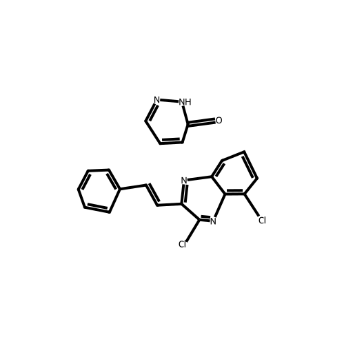 Clc1nc2c(Cl)cccc2nc1C=Cc1ccccc1.O=c1cccn[nH]1